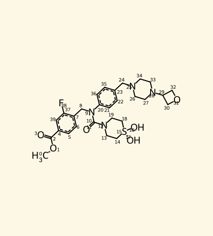 COC(=O)c1ccc(CN(C(=O)N2CCS(O)(O)CC2)c2ccc(CN3CCN(C4COC4)CC3)cc2)c(F)c1